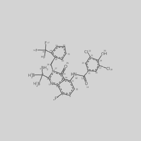 BC(B)(B)c1nc2c(F)ccc(NC(=O)c3cc(Cl)c(O)c(Cl)c3)c2c(=O)n1Cc1ccccc1C(F)(F)F